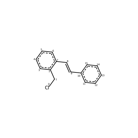 ClCc1ccccc1C=Cc1ccccc1